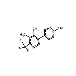 Cc1c(-c2ccc(O)cc2)ccc(C(F)(F)F)c1C